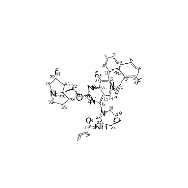 C#Cc1c(F)ccc2cccc(-c3ncc4c(N5CCOCC(NC(=O)C=C)C5)nc(OC[C@@]56CCCN5C[C@H](F)C6)nc4c3F)c12